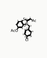 CC(=O)C=C1Sc2ccc(OC(C)=O)cc2N1Cc1ccc(Cl)cc1